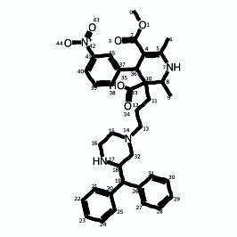 COC(=O)C1=C(C)NC(C)C(CCCN2CCNC(C(c3ccccc3)c3ccccc3)C2)(C(=O)O)C1c1cccc([N+](=O)[O-])c1